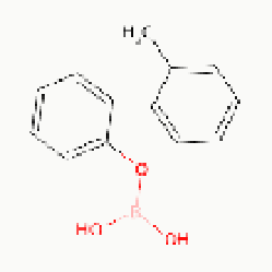 Cc1ccccc1.OB(O)Oc1ccccc1